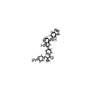 CC(C)N1CCN(CC2(C(=O)N3CC=C(C4Cc5c(Nc6ccc7ncsc7c6)ccnc5N4)CC3)CC2)CC1